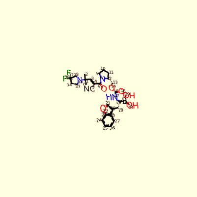 CC(C)(/C=C(\C#N)C(=O)N1CCC[C@@H]1COC(=O)N[C@@H](Cc1coc2ccccc12)B(O)O)N1CCC(F)(F)C1